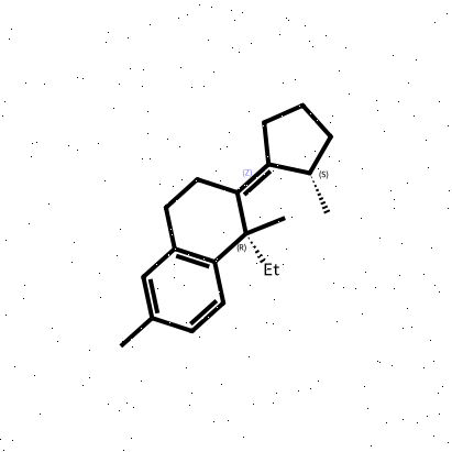 CC[C@@]1(C)/C(=C2/CCC[C@@H]2C)CCc2cc(C)ccc21